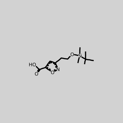 CC(C)(C)[Si](C)(C)OCCc1cc(C(=O)O)on1